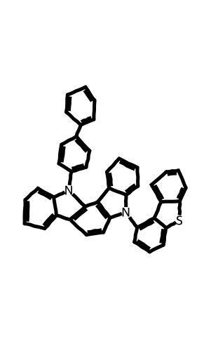 c1ccc(-c2ccc(-n3c4ccccc4c4ccc5c(c6ccccc6n5-c5cccc6sc7ccccc7c56)c43)cc2)cc1